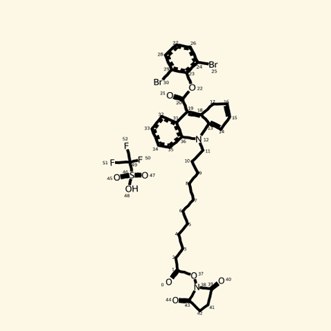 O=C(CCCCCCCCCCN1C2=CC=CCC2=C(C(=O)Oc2c(Br)cccc2Br)c2ccccc21)ON1C(=O)CCC1=O.O=S(=O)(O)C(F)(F)F